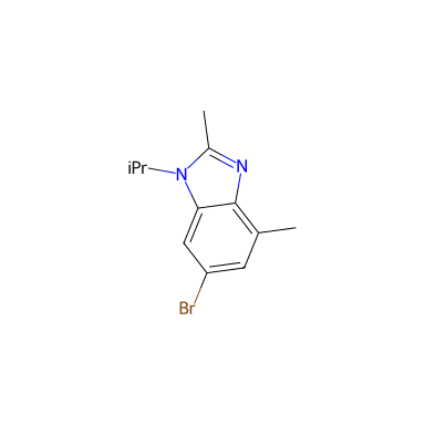 Cc1cc(Br)cc2c1nc(C)n2C(C)C